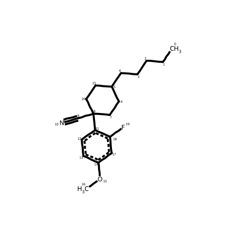 CCCCCC1CCC(C#N)(c2ccc(OC)cc2F)CC1